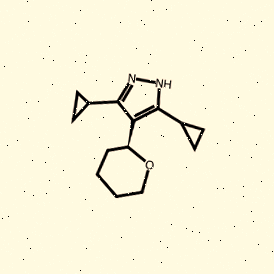 C1CC[C@@H](c2c(C3CC3)n[nH]c2C2CC2)OC1